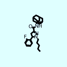 CCCCCN1N=C(C(=O)NC23CC4CC(CC(C4)C2)C3)CC1c1ccccc1F